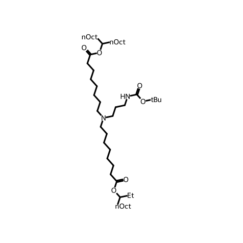 CCCCCCCCC(CC)OC(=O)CCCCCCCN(CCCCCCCC(=O)OC(CCCCCCCC)CCCCCCCC)CCCNC(=O)OC(C)(C)C